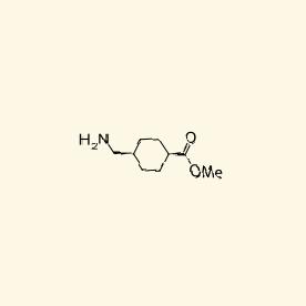 COC(=O)[C@H]1CC[C@@H](CN)CC1